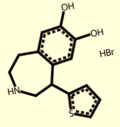 Br.Oc1cc2c(cc1O)C(c1cccs1)CNCC2